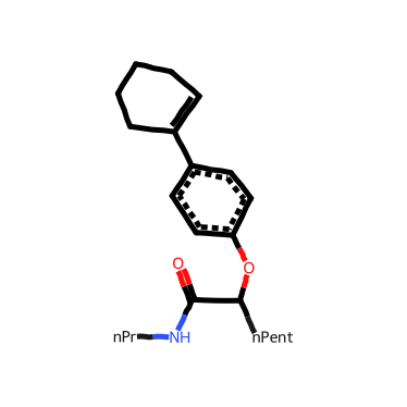 CCCCCC(Oc1ccc(C2=CCCCC2)cc1)C(=O)NCCC